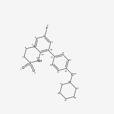 O=S1(=O)CC[n+]2cc(F)cc(-c3ccc(OC4CCCCC4)cc3)c2N1